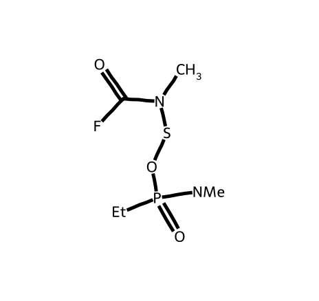 CCP(=O)(NC)OSN(C)C(=O)F